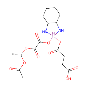 CC(=O)O[C@H](C)OC(=O)C(=O)O[PH]1(OC(=O)CCC(=O)O)NC2CCCCC2N1